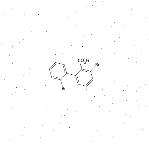 O=C(O)c1c(Br)cccc1-c1ccccc1Br